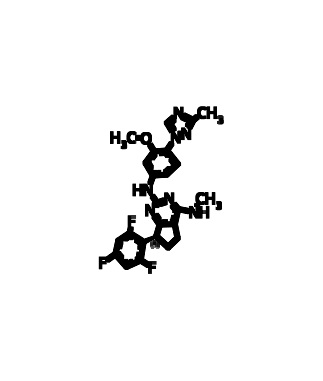 CNc1nc(Nc2ccc(-n3cnc(C)n3)c(OC)c2)nc2c1CC[C@H]2c1c(F)cc(F)cc1F